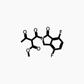 COC(=O)C(C(C)=O)C(=O)N1Cc2c(F)ccc(F)c2C1=O